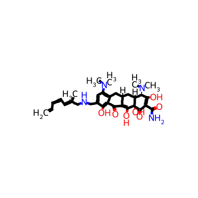 C=C/C=C\C=C(/C)CNCc1cc(N(C)C)c2c(c1O)C(=O)C1=C(O)[C@]3(O)C(=O)C(C(N)=O)=C(O)[C@@H](N(C)C)[C@@H]3C[C@@H]1C2